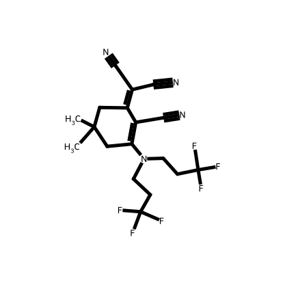 CC1(C)CC(=C(C#N)C#N)C(C#N)=C(N(CCC(F)(F)F)CCC(F)(F)F)C1